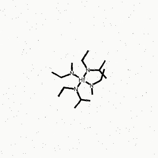 CC[N](C)[Hf]([N](C)CC)([N](CC)C(C)C)[N](CC)C(C)C